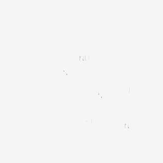 Cc1ccc2[nH]c(C3CN(c4c(Cl)cncc4Cl)C3)nc2c1